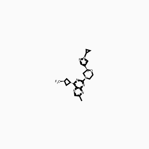 Cc1cnc2c(n1)nc(N1CCO[C@H](c3cnn(C4CC4)c3)C1)nc2[C@H]1C[C@H](C(F)(F)F)C1